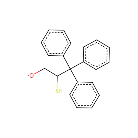 [O]CC(S)C(c1ccccc1)(c1ccccc1)c1ccccc1